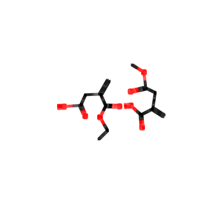 C=C(CC(=O)O)C(=O)OCC.C=C(CC(=O)OC)C(=O)O